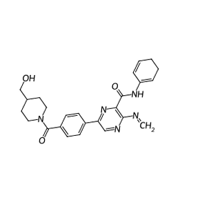 C=Nc1ncc(-c2ccc(C(=O)N3CCC(CO)CC3)cc2)nc1C(=O)NC1=CCCC=C1